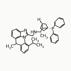 CC(C)c1cccc2c1-n1c(CN[C@@H](C)C3[C@@H]4CC[C@]3(P(c3ccccc3)c3ccccc3)C4)nc3cccc(c31)C2C